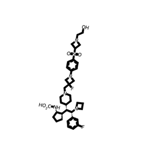 O=C(O)N[C@H]1CCC[C@@H]1[C@H](C1CCN(CC2(F)CN(c3ccc(S(=O)(=O)C4CN(CCO)C4)cc3)C2)CC1)[C@@H](c1cccc(F)c1)N1CCC1